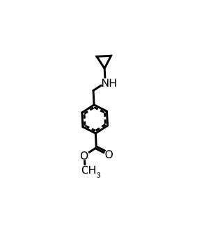 COC(=O)c1ccc(CNC2CC2)cc1